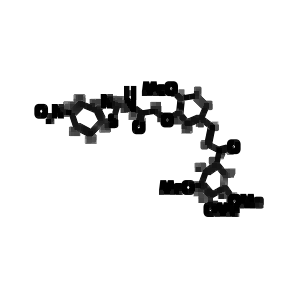 COc1ccc(C=CC(=O)c2cc(OC)c(OC)c(OC)c2)cc1OCC(=O)Nc1nc2cc([N+](=O)[O-])ccc2s1